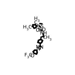 Cc1cc(C)c(N2CCS/C2=N\C(=O)NCC(C)Cc2ccc(-c3ncn(-c4ccc(OC(F)(F)F)cc4)n3)cc2)c(C)c1